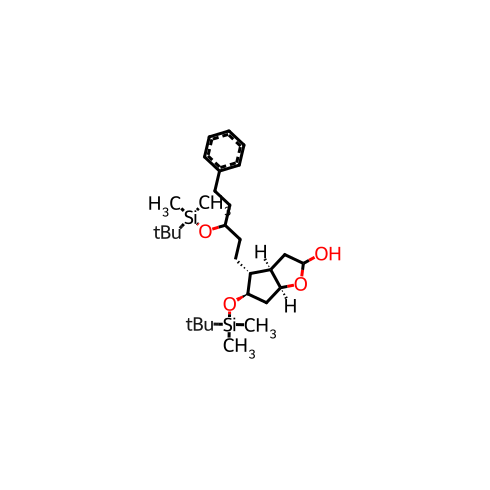 CC(C)(C)[Si](C)(C)OC(CCc1ccccc1)CC[C@@H]1[C@H]2CC(O)O[C@H]2C[C@H]1O[Si](C)(C)C(C)(C)C